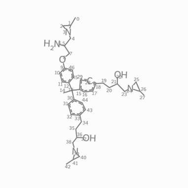 CC1CN1CC(N)COc1ccc(C(C)(c2ccc(CCC(O)CN3CC3C)cc2)c2ccc(CCC(O)CN3CC3C)cc2)cc1